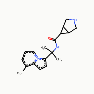 Cc1cccn2c(C(C)(C)NC(=O)C3C4CNCC43)ccc12